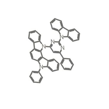 c1ccc(-c2cc(-n3c4ccccc4c4ccc5c(c6ccccc6n5-c5ccccc5)c43)nc(-n3c4ccccc4c4ccccc43)n2)cc1